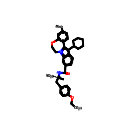 COc1ccc2c(c1)OCCn1c-2c(C2CCCCC2)c2ccc(C(=O)N[C@@](C)(Cc3ccc(OCC(=O)O)cc3)C(=O)O)cc21